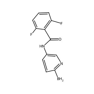 Bc1ccc(NC(=O)c2c(F)cccc2F)cn1